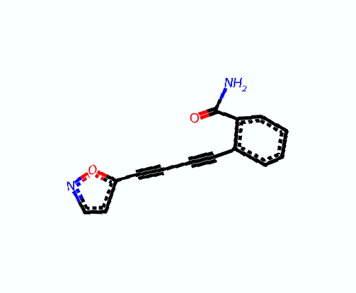 NC(=O)c1ccccc1C#CC#Cc1ccno1